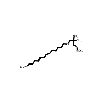 CCCCCC=CCC=CCCCCCCCCOCC(C)(N)COCCCCCCCC